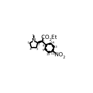 CCOC(=O)/C(=C1/CCCN1C)c1ccc([N+](=O)[O-])cc1